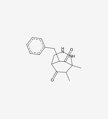 CC1C(=O)C2CNNC1(C)C(=O)C2Cc1ccccc1